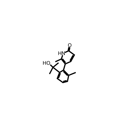 Cc1cccc(C(C)(C)O)c1-c1ccc(=O)[nH]c1C